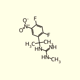 CNC(=N)NC(C)(C)c1cc([N+](=O)[O-])c(F)cc1F